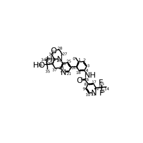 Cc1ccc(NC(=O)c2ccnc(C(C)(F)F)c2)cc1-c1cnc2c(c1)N1CCOC[C@@H]1C(C(C)(C)O)C2